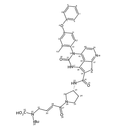 Cc1cc(Oc2ccccc2)ccc1N1C(=O)Nc2c(C(=O)N[C@@H]3CCN(C(=O)/C=C/CN(C(=O)O)C(C)(C)C)C3)sc3nccc1c23